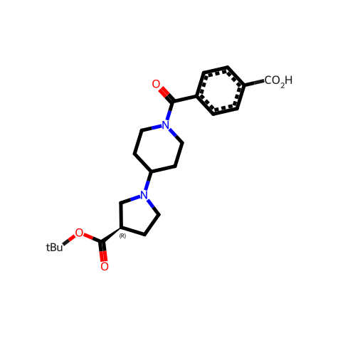 CC(C)(C)OC(=O)[C@@H]1CCN(C2CCN(C(=O)c3ccc(C(=O)O)cc3)CC2)C1